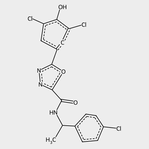 CC(NC(=O)c1nnc(-c2cc(Cl)c(O)c(Cl)c2)o1)c1ccc(Cl)cc1